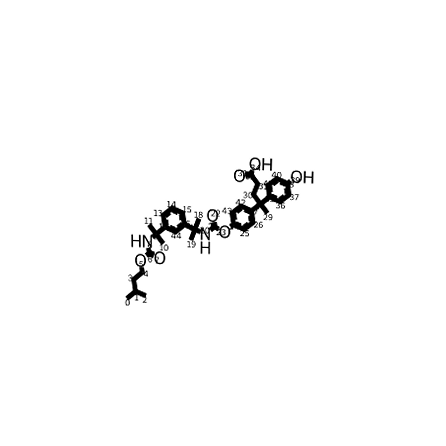 CC(C)CCOC(=O)NC(C)(C)c1cccc(C(C)(C)NC(=O)Oc2ccc(C(C)(CCC(=O)O)c3ccc(O)cc3)cc2)c1